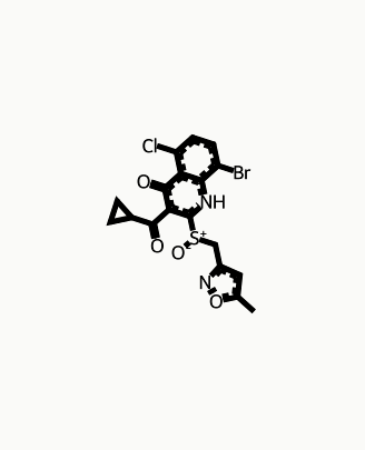 Cc1cc(C[S+]([O-])c2[nH]c3c(Br)ccc(Cl)c3c(=O)c2C(=O)C2CC2)no1